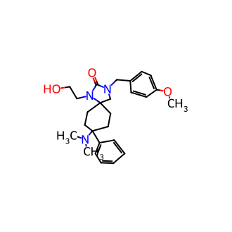 COc1ccc(CN2CC3(CCC(c4ccccc4)(N(C)C)CC3)N(CCO)C2=O)cc1